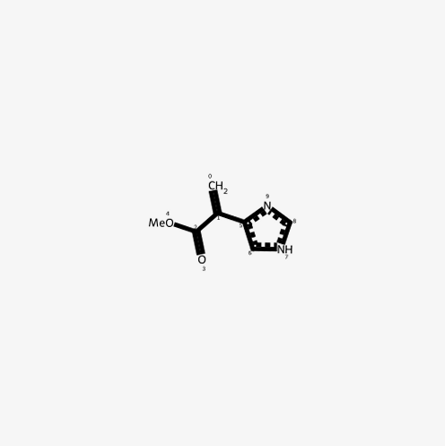 C=C(C(=O)OC)c1c[nH]cn1